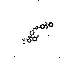 CC(=O)O[C@H]1CCCC12CC2(c1cccc(F)c1)C1CCN(CC2CN(c3ccc(S(=O)(=O)c4ccccc4)cc3)C2)CC1